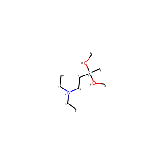 CCN(CC)CC[Si](C)(OC)OC